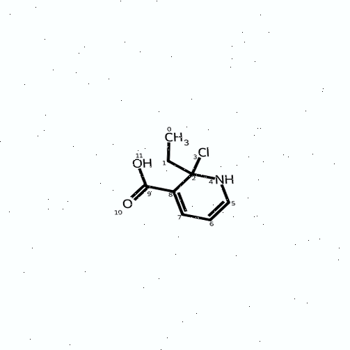 CCC1(Cl)NC=CC=C1C(=O)O